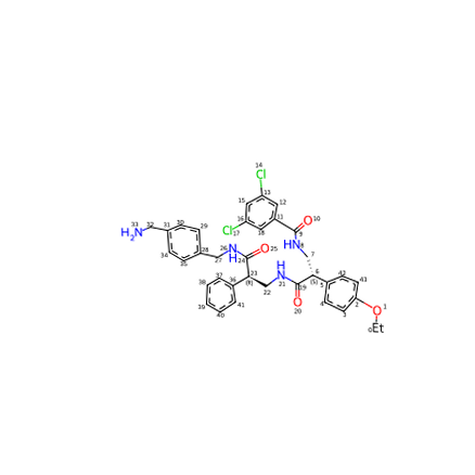 CCOc1ccc([C@@H](CNC(=O)c2cc(Cl)cc(Cl)c2)C(=O)NC[C@H](C(=O)NCc2ccc(CN)cc2)c2ccccc2)cc1